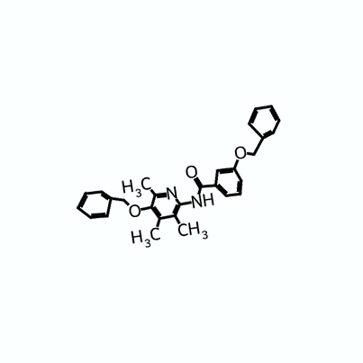 Cc1nc(NC(=O)c2cccc(OCc3ccccc3)c2)c(C)c(C)c1OCc1ccccc1